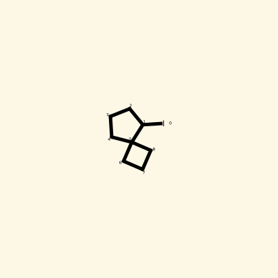 IC1CCCC12CCC2